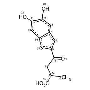 C[C@@H](CC(=O)c1cc2cc(O)c(O)cc2s1)C(=O)O